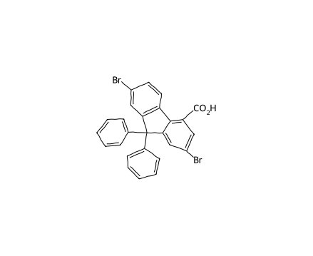 O=C(O)c1cc(Br)cc2c1-c1ccc(Br)cc1C2(c1ccccc1)c1ccccc1